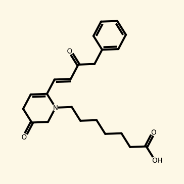 O=C(O)CCCCCCN1CC(=O)CC=C1C=CC(=O)Cc1ccccc1